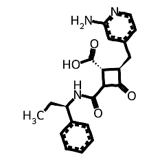 CC[C@@H](NC(=O)C1C(=O)[C@H](Cc2ccnc(N)c2)[C@H]1C(=O)O)c1ccccc1